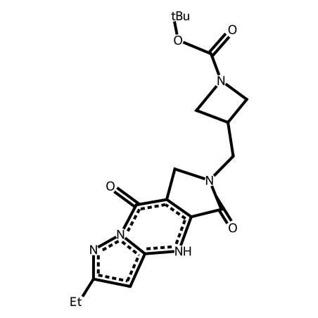 CCc1cc2[nH]c3c(c(=O)n2n1)CN(CC1CN(C(=O)OC(C)(C)C)C1)C3=O